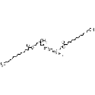 CCCCCCCCCCCCCC(=O)OCCCN(C)CCSCSCCN(C)CCCOC(=O)CCCCCCCCCCCCC